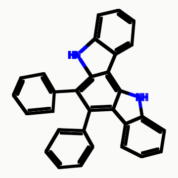 c1ccc(-c2c(-c3ccccc3)c3c4ccccc4[nH]c3c3c2[nH]c2ccccc23)cc1